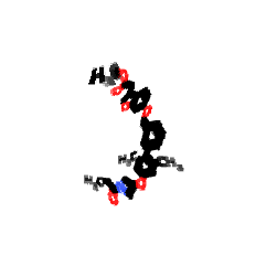 CCC(=O)N1CC(Oc2cc(C)c(-c3cccc(COc4ccc5c(c4)OCC5CC(=O)OC)c3)c(C)c2)C1